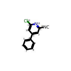 [C-]#[N+]c1cc(-c2ccccc2)cc(Cl)n1